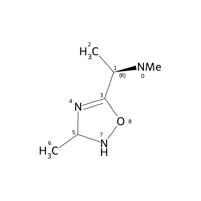 CN[C@H](C)C1=NC(C)NO1